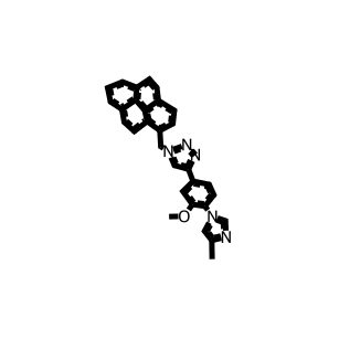 COc1cc(-c2cn(Cc3ccc4ccc5cccc6ccc3c4c56)nn2)ccc1-n1cnc(C)c1